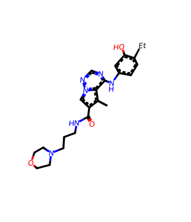 CCc1ccc(Nc2ncnn3cc(C(=O)NCCCN4CCOCC4)c(C)c23)cc1O